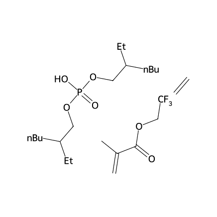 C=C.C=C(C)C(=O)OCC(F)(F)F.CCCCC(CC)COP(=O)(O)OCC(CC)CCCC